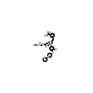 CCOC(=O)CS(=O)(=O)N(C/C=C/c1cccc(C(=N)N)c1)c1ccc(OC2CCN(C3=NCCCC3)CC2)c(Cl)c1.Cl.Cl